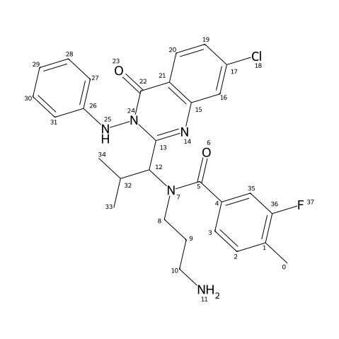 Cc1ccc(C(=O)N(CCCN)C(c2nc3cc(Cl)ccc3c(=O)n2Nc2ccccc2)C(C)C)cc1F